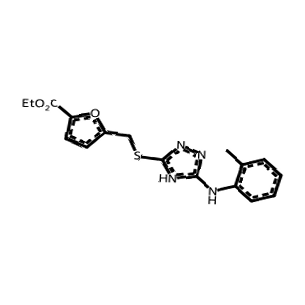 CCOC(=O)c1ccc(CSc2nnc(Nc3ccccc3C)[nH]2)o1